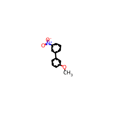 COc1cccc(-c2cccc([N+](=O)[O-])c2)c1